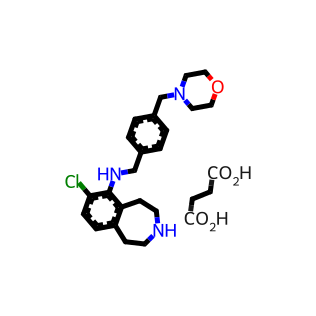 Clc1ccc2c(c1NCc1ccc(CN3CCOCC3)cc1)CCNCC2.O=C(O)CCC(=O)O